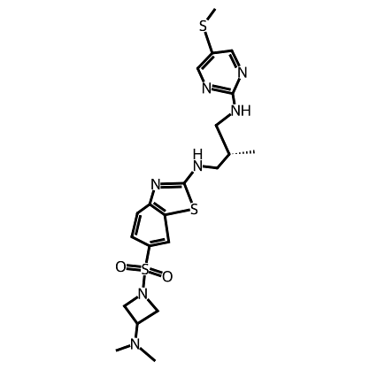 CSc1cnc(NC[C@H](C)CNc2nc3ccc(S(=O)(=O)N4CC(N(C)C)C4)cc3s2)nc1